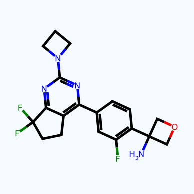 NC1(c2ccc(-c3nc(N4CCC4)nc4c3CCC4(F)F)cc2F)COC1